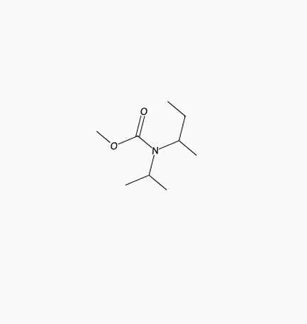 CCC(C)N(C(=O)OC)C(C)C